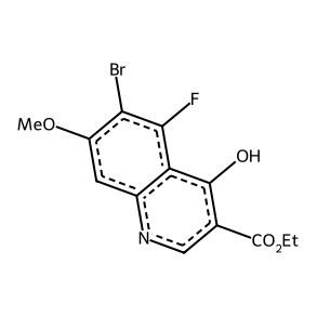 CCOC(=O)c1cnc2cc(OC)c(Br)c(F)c2c1O